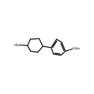 CCCCC1CCC(c2ccc(OC)cc2)CC1